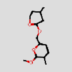 COC1OC(COC2CC(C)CCO2)CCC1C